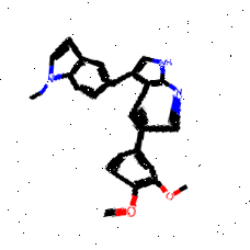 COc1ccc(-c2cnc3[nH]cc(-c4ccc5c(ccn5C)c4)c3c2)cc1OC